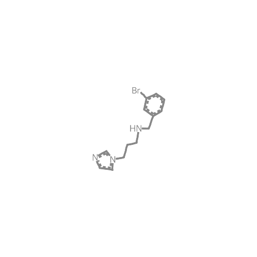 Brc1cccc(CNCCCn2ccnc2)c1